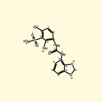 NS(=O)(=O)c1c(Cl)ccc(NC(=O)Nc2cccc3c2OCO3)c1O